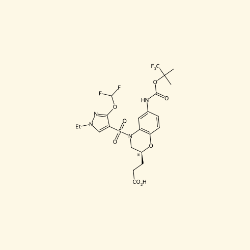 CCn1cc(S(=O)(=O)N2C[C@H](CCC(=O)O)Oc3ccc(NC(=O)OC(C)(C)C(F)(F)F)cc32)c(OC(F)F)n1